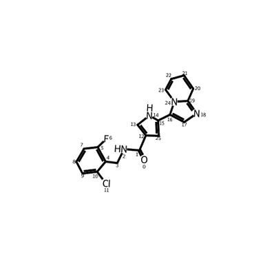 O=C(NCc1c(F)cccc1Cl)c1c[nH]c(-c2cnc3ccccn23)c1